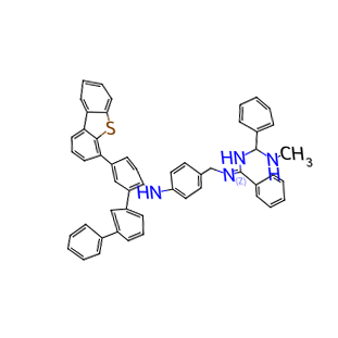 CNC(N/C(=N\Cc1ccc(Nc2ccc(-c3cccc4c3sc3ccccc34)cc2-c2cccc(-c3ccccc3)c2)cc1)c1ccccc1)c1ccccc1